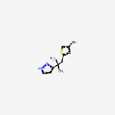 CC(C)(C)c1csc(CC(C)(C)c2cc[nH]n2)c1